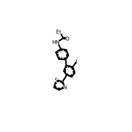 CCC(=O)Nc1ccc(-c2cc(-c3nccs3)ccc2I)cc1